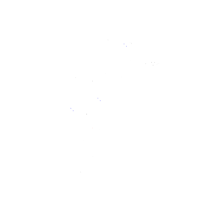 COc1cc(-c2ccnc(Oc3ccccc3)n2)ccn1